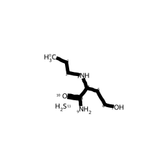 CCCNC(CCO)C(N)=O.S